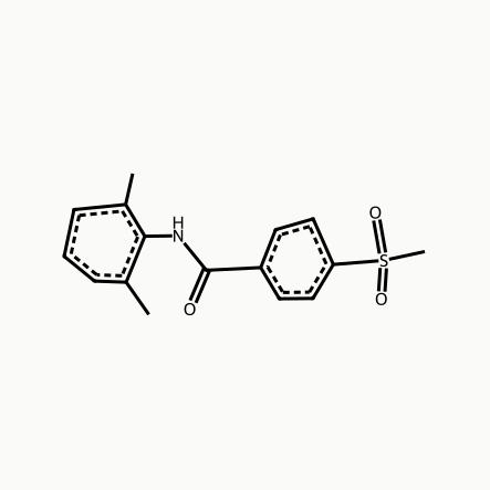 Cc1cccc(C)c1NC(=O)c1ccc(S(C)(=O)=O)cc1